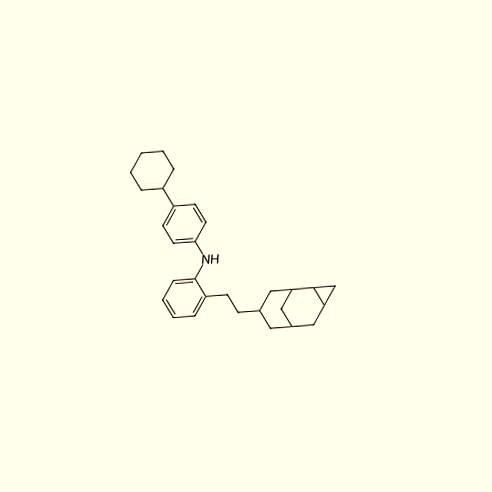 c1ccc(Nc2ccc(C3CCCCC3)cc2)c(CCC2CC3CC(C2)C2CC2C3)c1